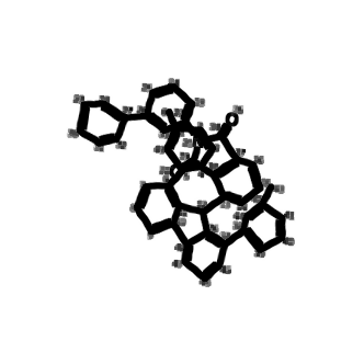 Cc1cccc(-c2cccc3c2C(c2cccc4c2C(=O)N(c2cccc(-c5ccccc5)c2)C4=O)c2c(-c4cccc(C)c4)cccc2-3)c1